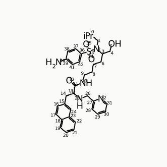 CC(C)CN(C(CO)CCCCNC(=O)[C@H](Cc1ccc2ccccc2c1)NCc1ccccn1)S(=O)(=O)c1ccc(N)cc1